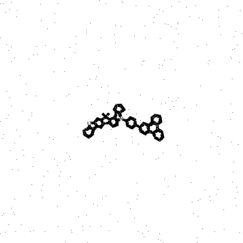 CC1(C)c2cc3oc4ccccc4c3cc2-c2ccc3c(c21)c1ccccc1n3-c1ccc(-c2ccc3c4ccccc4c4ccccc4c3c2)cc1